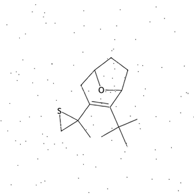 CC(C)(C)C1=C(C2(C)CS2)CC2CCC1O2